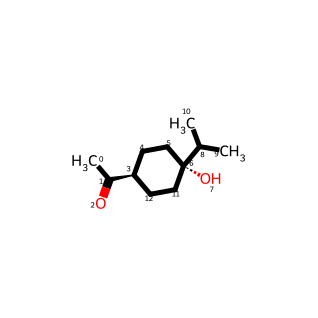 CC(=O)[C@H]1CC[C@@](O)(C(C)C)CC1